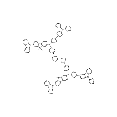 CC1(C)c2cc(N(c3ccc(-c4cccc(-c5cccc(-c6ccc(N(c7ccc(-c8ccc9c(c8)c8ccccc8n9-c8ccccc8)cc7)c7ccc8c(c7)C(C)(C)c7cc(-n9c%10ccccc%10c%10ccccc%109)ccc7-8)cc6)c5)c4)cc3)c3ccc(-c4ccc5c(c4)c4ccccc4n5-c4ccccc4)cc3)ccc2-c2ccc(-n3c4ccccc4c4ccccc43)cc21